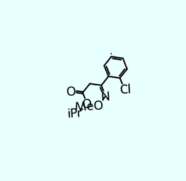 CON=C(CC(=O)OC(C)C)c1c[c]ccc1Cl